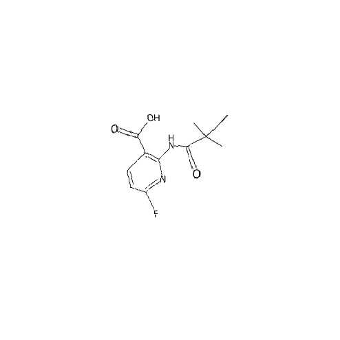 CC(C)(C)C(=O)Nc1nc(F)ccc1C(=O)O